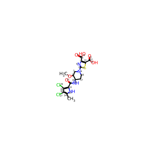 COC1CN(c2nc(C(=O)O)c(C(=O)O)s2)CCC1NC(=O)c1[nH]c(C)c(Cl)c1Cl